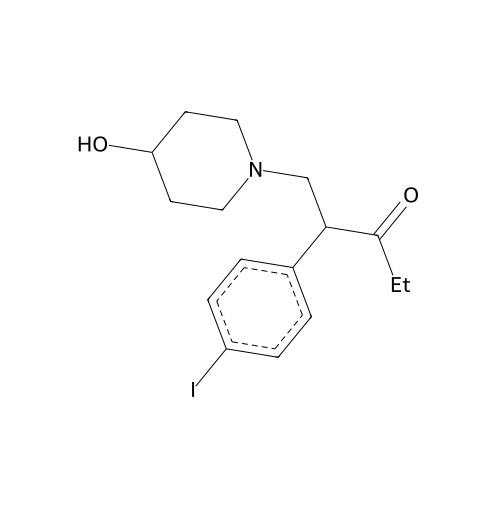 CCC(=O)C(CN1CCC(O)CC1)c1ccc(I)cc1